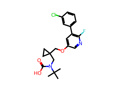 CC(C)(C)N(CC1(COc2cnc(F)c(-c3cccc(Cl)c3)c2)CC1)C(=O)O